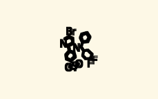 CS(=O)(=O)c1ccc2c3ncc(Br)cc3n(C(c3ccccc3)C3CCC(F)(F)CC3)c2c1